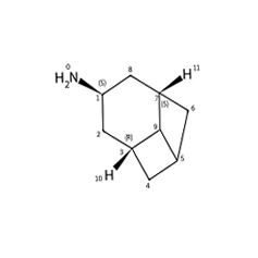 N[C@@H]1C[C@H]2CC3C[C@@H](C1)C32